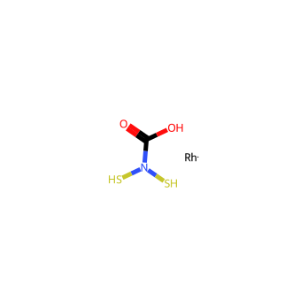 O=C(O)N(S)S.[Rh]